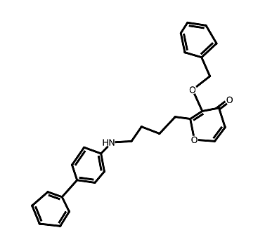 O=c1ccoc(CCCCNc2ccc(-c3ccccc3)cc2)c1OCc1ccccc1